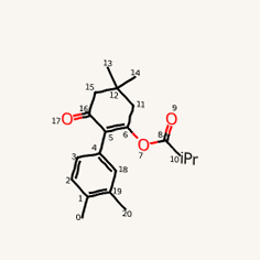 Cc1ccc(C2=C(OC(=O)C(C)C)CC(C)(C)CC2=O)cc1C